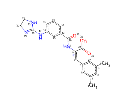 Cc1cc(C)cc(/C=C(/NC(=O)c2cccc(NC3=NCCN3)c2)C(=O)O)c1